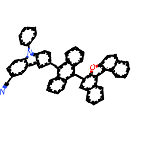 N#Cc1ccc2c(c1)c1cc(-c3c4ccccc4c(-c4cc5ccccc5c5c4oc4ccc6ccccc6c45)c4ccccc34)ccc1n2-c1ccccc1